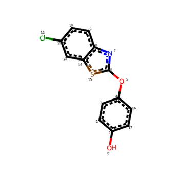 Oc1ccc(Oc2nc3ccc(Cl)cc3s2)cc1